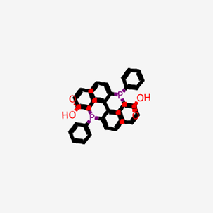 O=C(O)Cc1cccc(P(c2ccccc2)c2ccccc2)c1-c1c(CC(=O)O)cccc1P(c1ccccc1)c1ccccc1